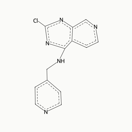 Clc1nc(NCc2ccncc2)c2ccncc2n1